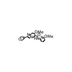 COc1cccc(NC(=O)c2cn3cc(C4C5COCC54)nc3cc2OC)n1